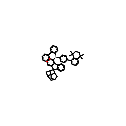 CC1(C)CCC(C)(C)c2c(-c3ccc(N(c4ccccc4-c4ccccc4)c4cccc5c4-c4ccccc4C54C5CC6CC7CC4C75C6)cc3)cccc21